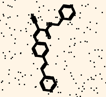 N#CC(=Cc1ccc(C=Cc2ccncc2)cc1)C(=O)NCc1ccncc1